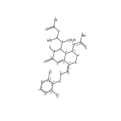 CCC(=O)CC(O)C(C(=O)O)C1C(C)C(=O)C=C2/C(=N\OCc3c(Cl)cccc3Cl)CCC(OC(=O)C(C)CC)C21